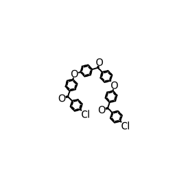 O=C(c1ccc(Cl)cc1)c1ccc(Oc2ccc(C(=O)c3ccc(Oc4ccc(C(=O)c5ccc(Cl)cc5)cc4)cc3)cc2)cc1